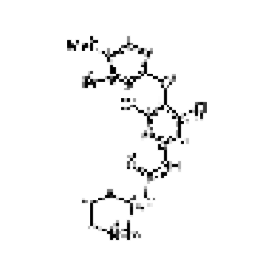 COc1ccc(Oc2c(Cl)cc(NC(=O)C[C@H]3CCCNC3)cc2Cl)cc1C(C)C